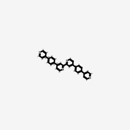 c1cc(-c2ccc(-c3ccnc(-c4cc(-c5ccc(-c6ccncc6)cc5)ccn4)c3)cc2)ccn1